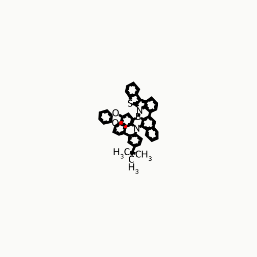 CC(C)(C)c1ccc(N2c3cc4c(cc3B3c5c(cc6ccccc6c52)-c2cccc5c6c7ccccc7sc6n3c25)Oc2ccccc2O4)c(-c2ccccc2)c1